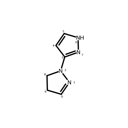 C1=NN(c2cc[nH]n2)CC1